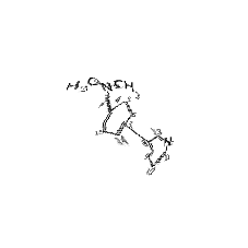 CN(C)Cc1ccc(-c2c[c]cnc2)cc1